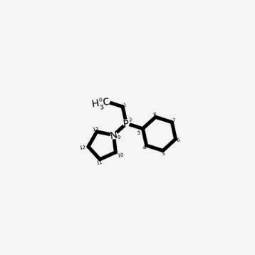 CCP(C1CCCCC1)N1CCCC1